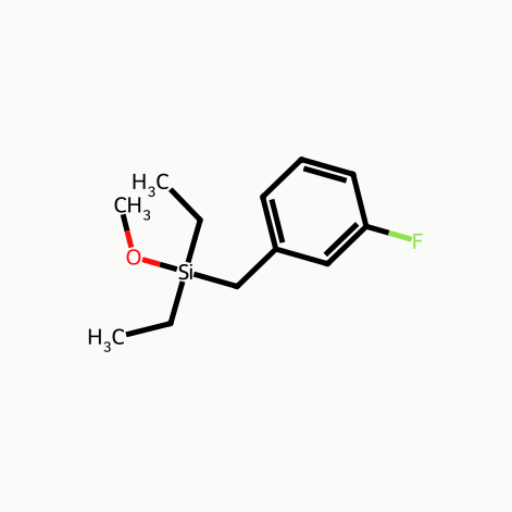 CC[Si](CC)(Cc1cccc(F)c1)OC